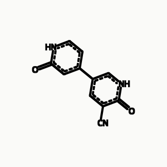 N#Cc1cc(-c2cc[nH]c(=O)c2)c[nH]c1=O